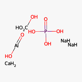 O=C(O)O.O=P(O)(O)O.[CaH2].[NaH].[NaH].[O]=[Al][OH]